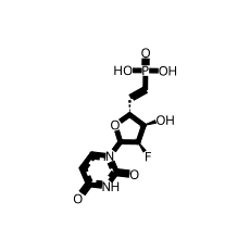 O=c1ccn(C2O[C@H](/C=C/P(=O)(O)O)[C@@H](O)[C@H]2F)c(=O)[nH]1